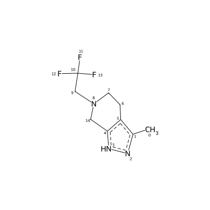 Cc1n[nH]c2c1CCN(CC(F)(F)F)C2